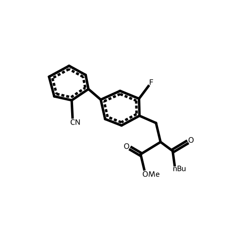 CCCCC(=O)C(Cc1ccc(-c2ccccc2C#N)cc1F)C(=O)OC